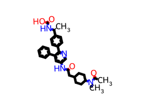 CC(=O)N(C)C1CCC(CC(=O)Nc2cnc(-c3ccc([C@@H](C)NC(=O)O)cc3)c(-c3ccccc3)c2)CC1